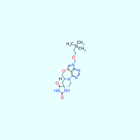 C[Si](C)(C)CCOCn1cc2c3c(ncnc31)N1CC[C@]3(C[C@H]1CO2)NC(=O)NC3=O